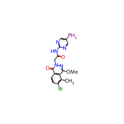 COc1nn(CC(=O)Nc2ncc(P)cn2)c(=O)c2ccc(Br)c(C)c12